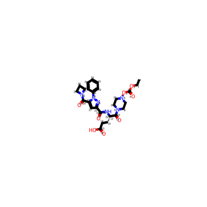 CCOC(=O)ON1CCN(C(=O)[C@H](CCC(=O)O)NC(=O)c2cc(C(=O)N3CCC3)n(-c3ccccc3)n2)CC1